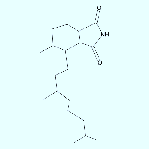 CC(C)CCCC(C)CCC1C(C)CCC2C(=O)NC(=O)C21